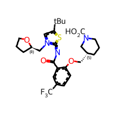 CC(C)(C)c1cn(C[C@H]2CCCO2)c(=NC(=O)c2cc(C(F)(F)F)ccc2OC[C@H]2CCCN(C(=O)O)C2)s1